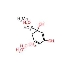 O.O.O.O.O=S(=O)(O)C1(O)C=C(O)C=CC1.[MgH2]